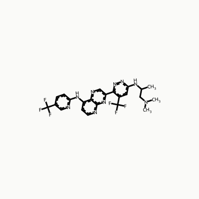 CC(CN(C)C)Nc1cc(C(F)(F)F)c(-c2cnc3c(Nc4ccc(C(F)(F)F)cn4)ccnc3n2)nn1